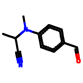 CC(C#N)N(C)c1ccc(C=O)cc1